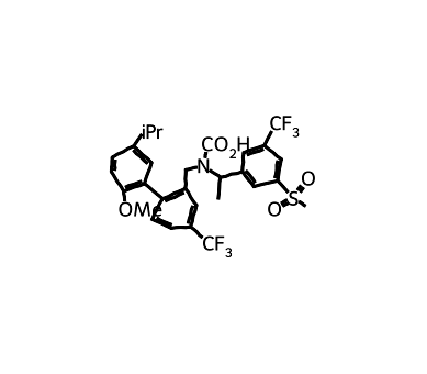 COc1ccc(C(C)C)cc1-c1ccc(C(F)(F)F)cc1CN(C(=O)O)C(C)c1cc(C(F)(F)F)cc(S(C)(=O)=O)c1